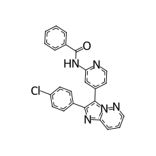 O=C(Nc1cc(-c2c(-c3ccc(Cl)cc3)nc3cccnn23)ccn1)c1ccccc1